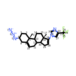 C[C@]12CC[C@H](N=[N+]=[N-])CC1=CCC1C2CC[C@]2(C)C(n3cnc(C(F)(F)F)c3)=CCC12